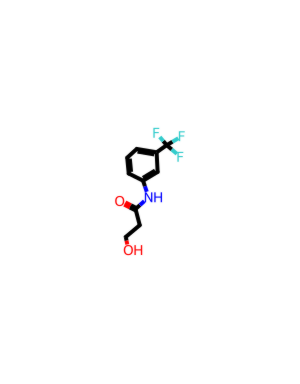 O=C(CCO)Nc1cccc(C(F)(F)F)c1